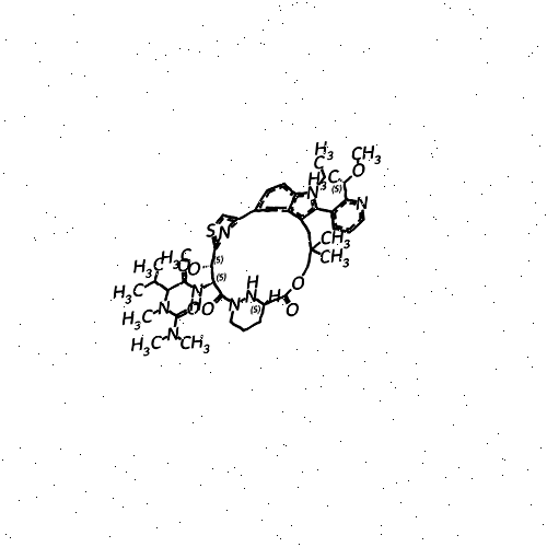 CCn1c(-c2cccnc2[C@H](C)OC)c2c3cc(ccc31)-c1csc(n1)[C@@H](OC)[C@H](NC(=O)C(C(C)C)N(C)C(=O)N(C)C)C(=O)N1CCC[C@H](N1)C(=O)OCC(C)(C)C2